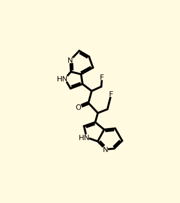 O=C(C(CF)c1c[nH]c2ncccc12)C(CF)c1c[nH]c2ncccc12